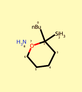 CCCCC1([SiH3])CCCCO1.N